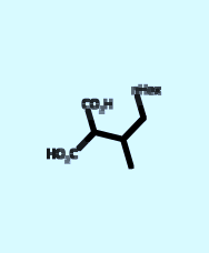 CCCCCCCC(C)C(C(=O)O)C(=O)O